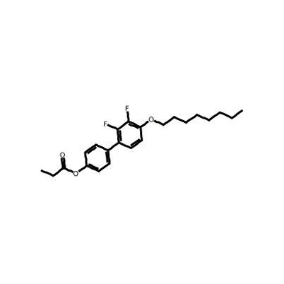 CCCCCCCCOc1ccc(-c2ccc(OC(=O)CC)cc2)c(F)c1F